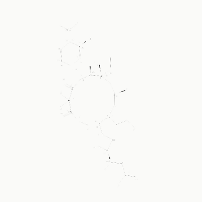 CCCN1C[C@H](C)C[C@@](C)(OC)[C@H](O[C@@H]2O[C@H](C)C[C@H](N(C)C)[C@H]2O)[C@@H](C)C(=O)C(C)(C)C(=O)OC[C@H]1[C@H]1C[C@H](N(C)CC(C)C)C1